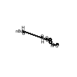 CCCCNC(=O)CCCCCCCCCCCCCCC(=O)NCCC(=O)Oc1cccc2c1CCC(N(CCC)CCc1cccs1)C2